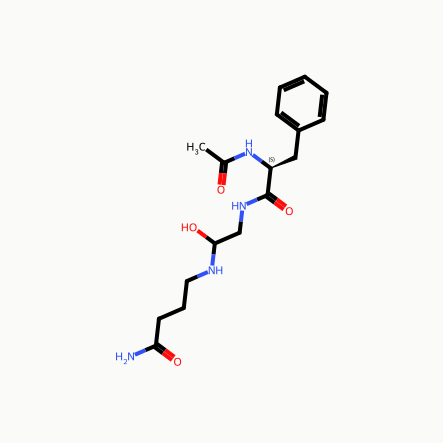 CC(=O)N[C@@H](Cc1ccccc1)C(=O)NCC(O)NCCCC(N)=O